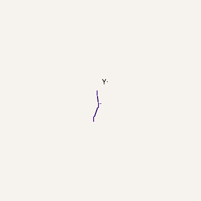 I[I-]I.[Y]